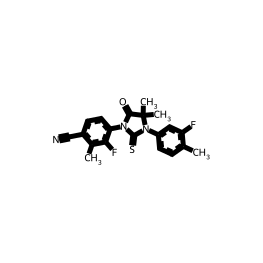 Cc1ccc(N2C(=S)N(c3ccc(C#N)c(C)c3F)C(=O)C2(C)C)cc1F